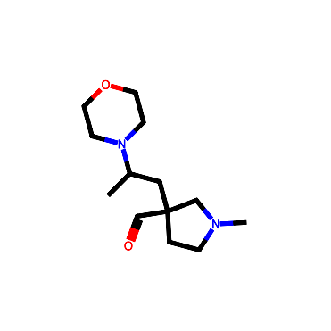 CC(CC1(C=O)CCN(C)C1)N1CCOCC1